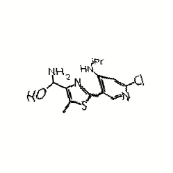 Cc1sc(-c2cnc(Cl)cc2NC(C)C)nc1C(N)O